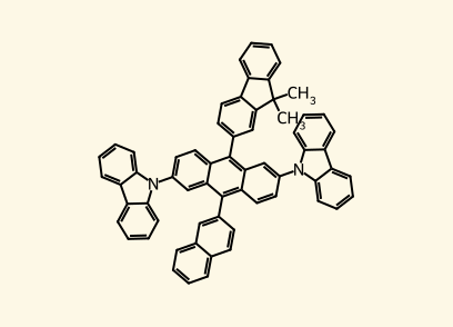 CC1(C)c2ccccc2-c2ccc(-c3c4ccc(-n5c6ccccc6c6ccccc65)cc4c(-c4ccc5ccccc5c4)c4ccc(-n5c6ccccc6c6ccccc65)cc34)cc21